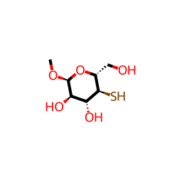 CO[C@H]1O[C@H](CO)[C@@H](S)[C@H](O)[C@H]1O